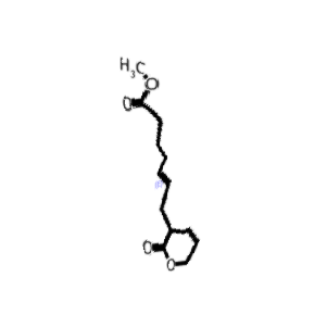 COC(=O)CCC/C=C/CC1CCCOC1=O